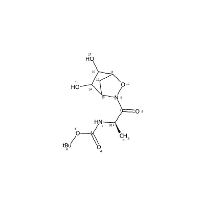 C[C@@H](NC(=O)OC(C)(C)C)C(=O)N1OC2CC1C(O)C2O